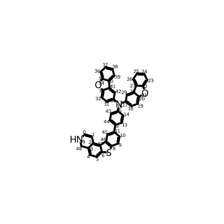 C1=Cc2c(ccc3sc4ccc(-c5ccc(N(c6ccc7oc8ccccc8c7c6)c6ccc7oc8ccccc8c7c6)cc5)cc4c23)CN1